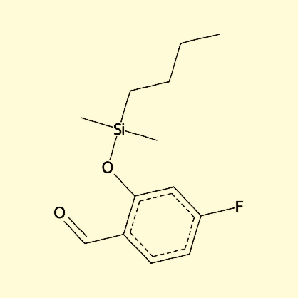 CCCC[Si](C)(C)Oc1cc(F)ccc1C=O